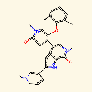 Cc1cccc(C)c1Oc1cn(C)c(=O)cc1-c1cn(C)c(=O)c2[nH]c(C3=CN(C)CC=C3)cc12